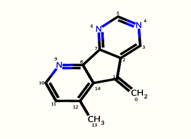 C=C1c2cncnc2-c2nccc(C)c21